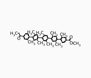 CCC(=O)c1ccc(-c2cc(C)c(-c3cc(C)c(-c4cc(C)c(-c5ccc(C(=O)OC)cc5C)cc4C)cc3C)cc2C)c(C)c1